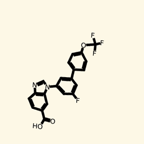 O=C(O)c1ccc2ncn(-c3cc(F)cc(-c4ccc(OC(F)(F)F)cc4)c3)c2c1